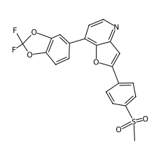 CS(=O)(=O)c1ccc(-c2cc3nccc(-c4ccc5c(c4)OC(F)(F)O5)c3o2)cc1